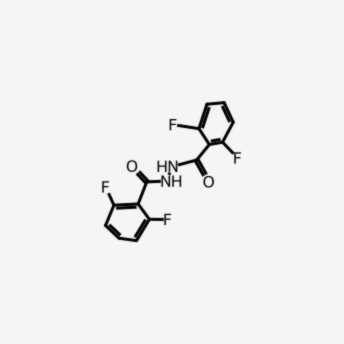 O=C(NNC(=O)c1c(F)cccc1F)c1c(F)cccc1F